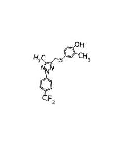 Cc1cc(SCc2nn(-c3ccc(C(F)(F)F)cc3)nc2C)ccc1O